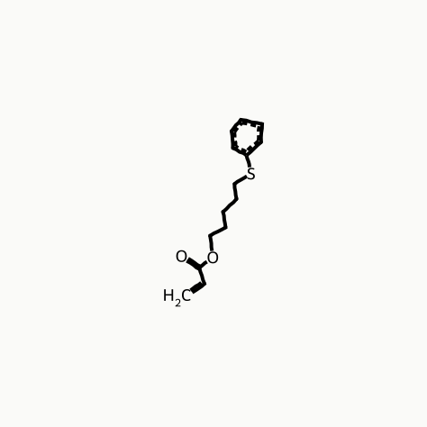 C=CC(=O)OCCCCCSc1ccccc1